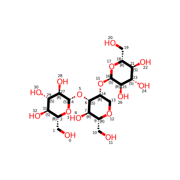 OC[C@H]1O[C@@H](O[C@H]2[C@H](O)[C@@H](CO)O[CH][C@H]2O[C@H]2O[C@H](CO)[C@@H](O)[C@H](O)[C@H]2O)[C@H](O)[C@@H](O)[C@@H]1O